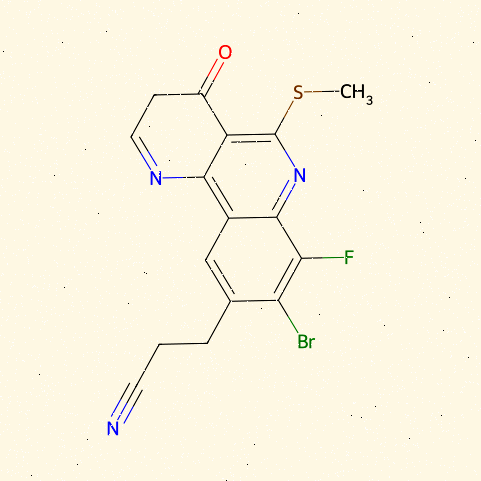 CSc1nc2c(F)c(Br)c(CCC#N)cc2c2c1C(=O)CC=N2